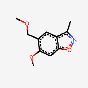 COCc1cc2c(C)noc2cc1OC